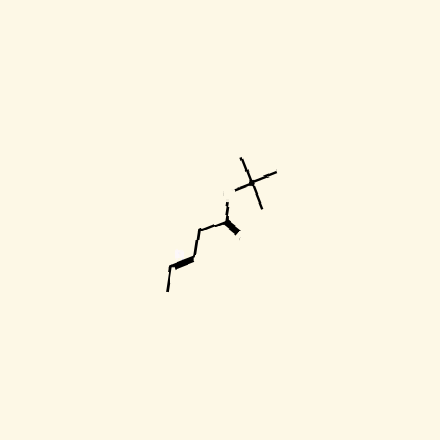 C/C=C/CC(=O)OC(C)(C)C